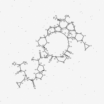 CO[C@@H](C)c1ncc(N2CCN(C3CC3)CC2)cc1-c1c2c3cc(ccc3n1CC(F)(F)F)N1CCO[C@@H](C[C@H](NC(=O)C(C(C)C)N3CC[C@]4(CCN(C(=O)[C@H]5C(C6CC6)N5CC(=O)N(C)C)C4)C3)C(=O)N3CCC[C@H](N3)C(=O)OCC(C)(C)C2)C1